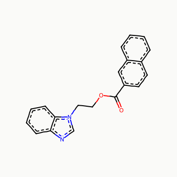 O=C(OCCn1cnc2ccccc21)c1ccc2ccccc2c1